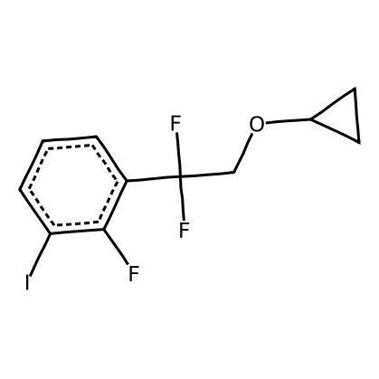 Fc1c(I)cccc1C(F)(F)COC1CC1